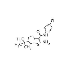 CC(C)(C)C1CCc2c(sc(N)c2C(=O)Nc2ccc(Cl)cc2)C1